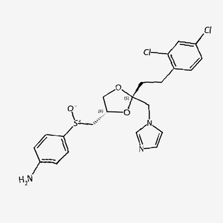 Nc1ccc([S+]([O-])C[C@@H]2CO[C@](CCc3ccc(Cl)cc3Cl)(Cn3ccnc3)O2)cc1